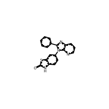 O=c1[nH]c2ccc(-n3c(-c4ccccc4)nc4cccnc43)cc2s1